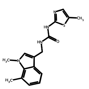 Cc1cnc(NC(=O)NCc2cn(C)c3c(C)cccc23)s1